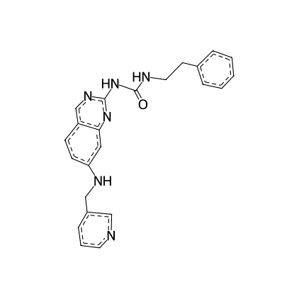 O=C(NCCc1ccccc1)Nc1ncc2ccc(NCc3cccnc3)cc2n1